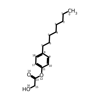 CCCCCCCCc1ccc(OC(=O)CO)cc1